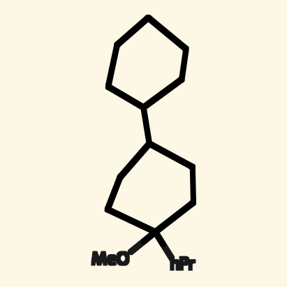 CCCC1(OC)CCC(C2CCCCC2)CC1